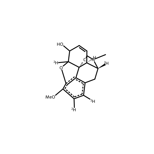 [2H]c1c([2H])c(OC)c2c3c1C[C@]1([2H])[C@@H]4C=CC(O)C([2H])(O2)[C@]34CCN1C